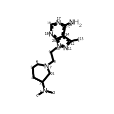 CN(C)C1CCCN(CCn2nc(I)c3c(N)ncnc32)C1